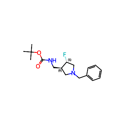 CC(C)(C)OC(=O)NC[C@@H]1CN(Cc2ccccc2)C[C@H]1F